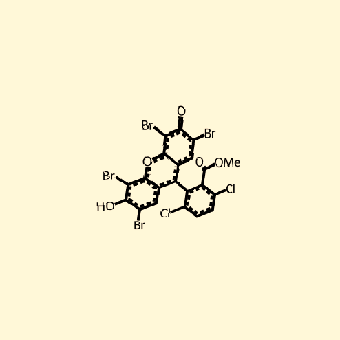 COC(=O)c1c(Cl)ccc(Cl)c1-c1c2cc(Br)c(=O)c(Br)c-2oc2c(Br)c(O)c(Br)cc12